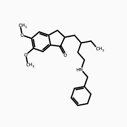 CCC(CCNCC1=CC=CCC1)CC1Cc2cc(OC)c(OC)cc2C1=O